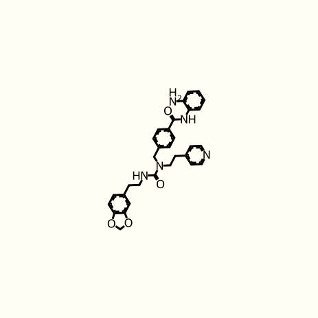 Nc1ccccc1NC(=O)c1ccc(CN(CCc2ccncc2)C(=O)NCCc2ccc3c(c2)OCO3)cc1